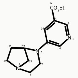 CCOC(=O)c1cncc(N2CCN3CCC2C3)c1